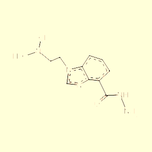 CN(C)CCn1cnc2c(C(=O)NN)cccc21